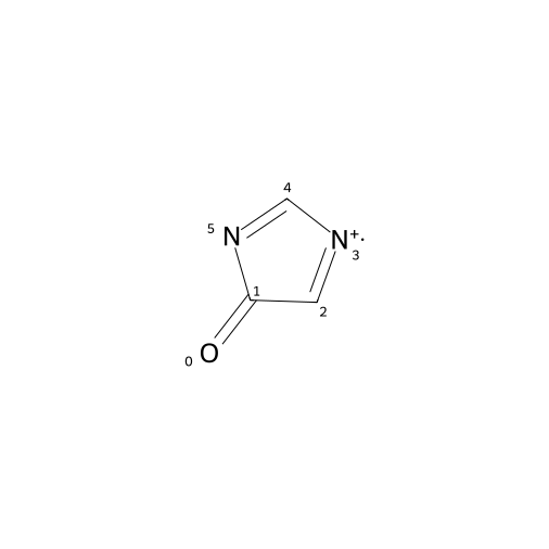 O=C1C=[N+]C=N1